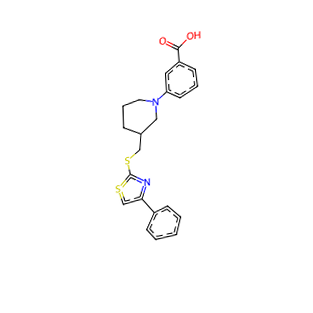 O=C(O)c1cccc(N2CCCC(CSc3nc(-c4ccccc4)cs3)C2)c1